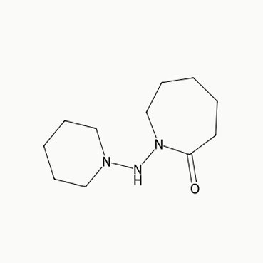 O=C1CCCCCN1NN1CCCCC1